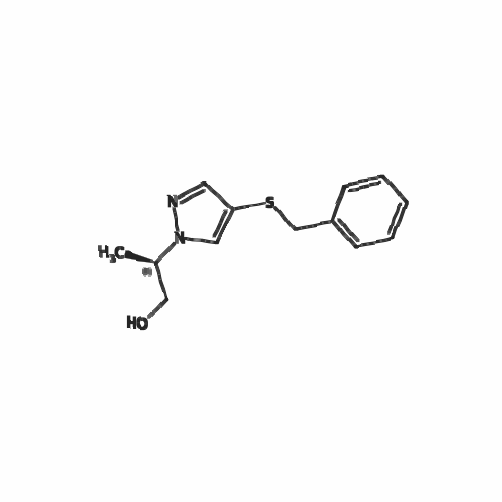 C[C@H](CO)n1cc(SCc2ccccc2)cn1